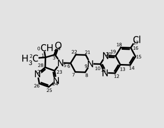 CC1(C)C(=O)N(C2CCN(c3ncc4ccc(Cl)cc4n3)CC2)c2nccnc21